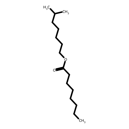 CCCCCCCC(=O)OCCCCCC(C)C